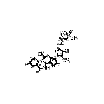 C[C@H](Nc1nc(Cl)nn2c([C@@H]3O[C@H](COP(=O)(O)CP(=O)(O)O)[C@@H](O)[C@H]3O)cnc12)c1cncc(F)c1